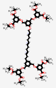 CC(C)(C)OC(=O)c1cc(OCc2cc(CC/C=C/CC/C=C/CC/C=C/COc3cc(COc4cc(C(=O)OC(C)(C)C)cc(C(=O)OC(C)(C)C)c4)cc(COc4cc(C(=O)OC(C)(C)C)cc(C(=O)OC(C)(C)C)c4)c3)cc(COc3cc(C(=O)OC(C)(C)C)cc(C(=O)OC(C)(C)C)c3)c2)cc(C(=O)OC(C)(C)C)c1